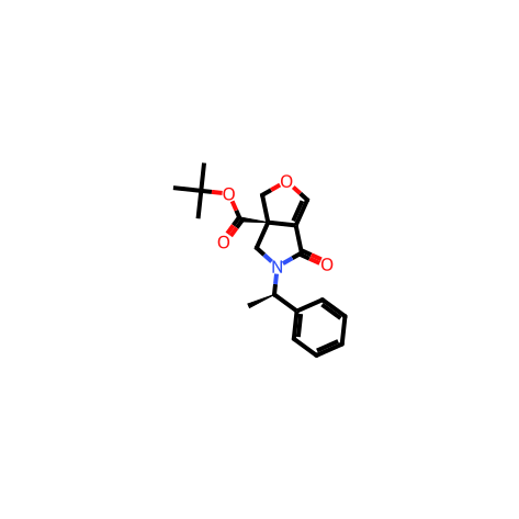 C[C@H](c1ccccc1)N1C[C@]2(C(=O)OC(C)(C)C)COC=C2C1=O